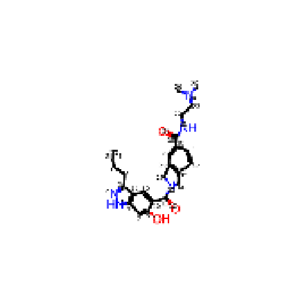 CC(C)CCc1n[nH]c2cc(O)c(C(=O)N3Cc4ccc(C(=O)NCCN(C)C)cc4C3)cc12